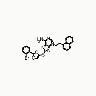 Nc1ncn(CCc2cccc3ccccc23)c2nc(SC3=COC(c4ccccc4Br)O3)nc1-2